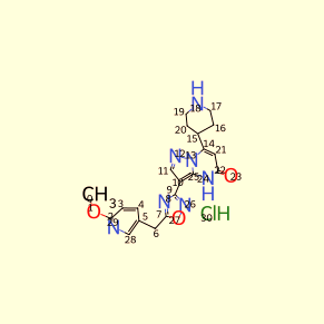 COc1ccc(Cc2nc(-c3cnn4c(C5CCNCC5)cc(=O)[nH]c34)no2)cn1.Cl